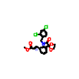 COC(=O)/C=C/c1cccc2c1N(Cc1ccc(Cl)cc1Cl)C(=O)C21OCCO1